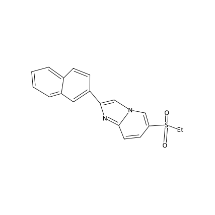 CCS(=O)(=O)c1ccc2nc(-c3ccc4ccccc4c3)cn2c1